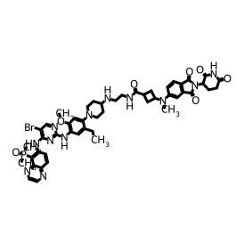 CCc1cc(Nc2ncc(Br)c(Nc3ccc4nccnc4c3P(C)(C)=O)n2)c(OC)cc1N1CCC(NCCNC(=O)C2CC(N(C)c3ccc4c(c3)C(=O)N(C3CCC(=O)NC3=O)C4=O)C2)CC1